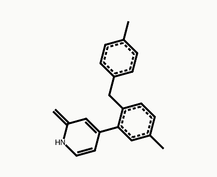 C=C1C=C(c2cc(C)ccc2Cc2ccc(C)cc2)C=CN1